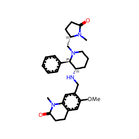 COc1cc2c(cc1CN[C@H]1CCCN(C[C@@H]3CCC(=O)N3C)[C@@H]1c1ccccc1)N(C)C(=O)CC2